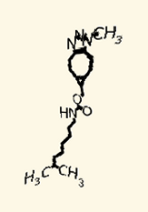 CC(C)CCCCCCNC(=O)OCC1C2CCc3nnn(C)c3CCC21